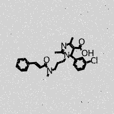 CC1=NC(C)=C(C(=O)O)C(c2cccc(Cl)c2)N1CCCN(C)C(=O)/C=C/c1ccccc1